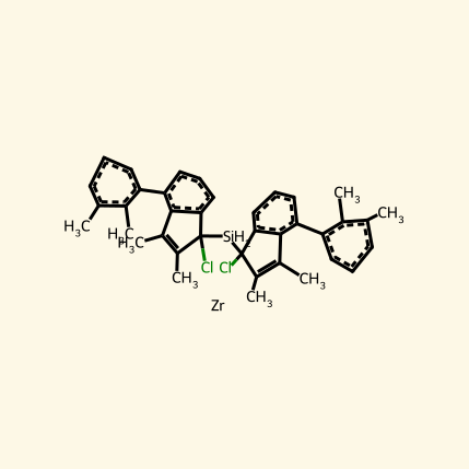 CC1=C(C)C(Cl)([SiH2]C2(Cl)C(C)=C(C)c3c(-c4cccc(C)c4C)cccc32)c2cccc(-c3cccc(C)c3C)c21.[Zr]